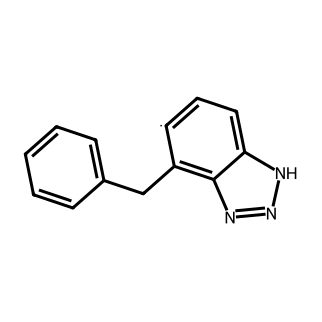 [c]1ccc2[nH]nnc2c1Cc1ccccc1